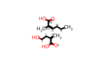 C=C(CCO)C(=O)O.CCCC=C(C)C(=O)O